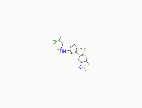 C=C(CC(C)Cl)Nc1ccc(C)c(-c2cc(N)c(C)cc2F)c1